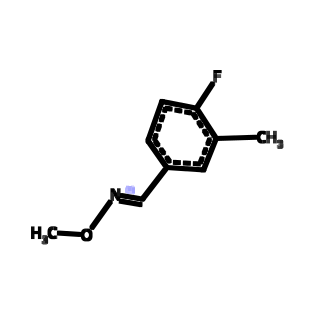 CO/N=C/c1ccc(F)c(C)c1